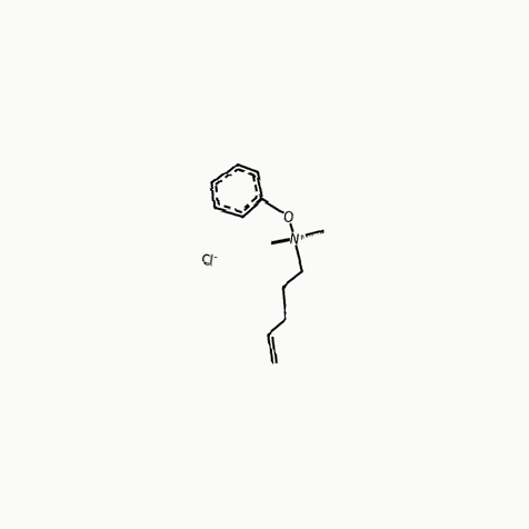 C=CCCC[N+](C)(C)Oc1ccccc1.[Cl-]